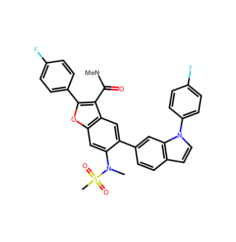 CNC(=O)c1c(-c2ccc(F)cc2)oc2cc(N(C)S(C)(=O)=O)c(-c3ccc4ccn(-c5ccc(F)cc5)c4c3)cc12